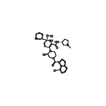 CCOC1(c2cccnc2)C=CC(N2CCN(C(=O)n3ccc4cccc(Cl)c43)C[C@H]2CC)=C(C(=O)N[C@@H]2CCN(C)C2)N1